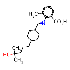 Cc1cccc(C(=O)O)c1N=CC1=CCC(CCCC(C)(C)O)CC1